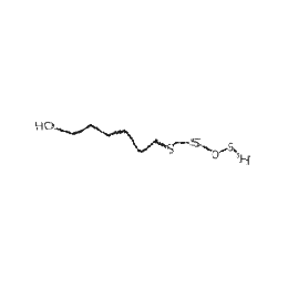 [3H]SOSSCCCCCCO